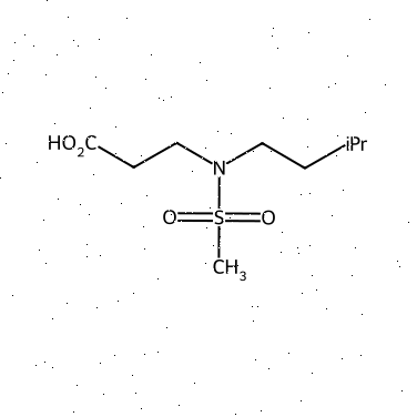 CC(C)CCN(CCC(=O)O)S(C)(=O)=O